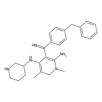 CC1=C(NC2CCCNC2)C(C(=N)c2ccc(Cc3ccccc3)cc2)=C(N)N(C)C1